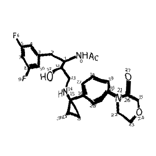 CC(=O)NC(Cc1cc(F)cc(F)c1)C(O)CNC1(c2cccc(N3CCOCC3=O)c2)CC1